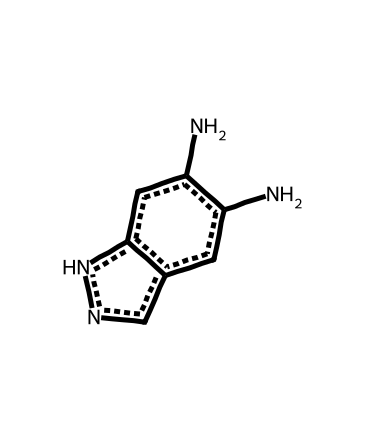 Nc1cc2cn[nH]c2cc1N